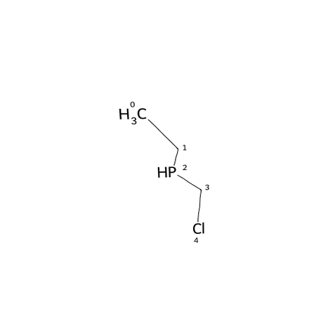 CCPCCl